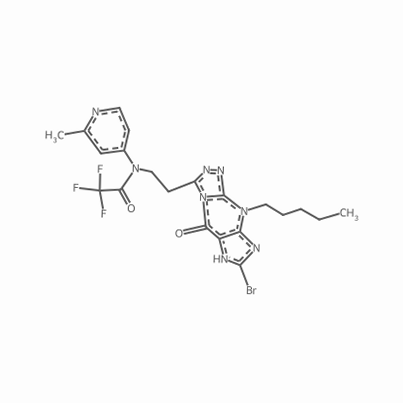 CCCCCn1c2nc(Br)[nH]c2c(=O)n2c(CCN(C(=O)C(F)(F)F)c3ccnc(C)c3)nnc12